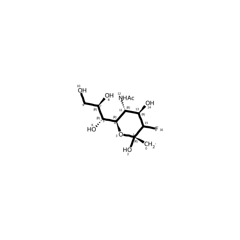 [CH2][C@@]1(O)O[C@@H]([C@H](O)[C@H](O)CO)[C@H](NC(C)=O)[C@@H](O)C1F